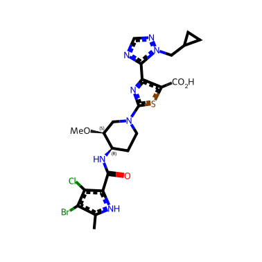 CO[C@H]1CN(c2nc(-c3ncnn3CC3CC3)c(C(=O)O)s2)CC[C@H]1NC(=O)c1[nH]c(C)c(Br)c1Cl